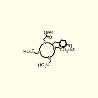 CCOc1ccc(CC2CN(CC(=O)OC)CCN(CC(=O)O)CCN(CC(=O)O)CCN2CC(=O)O)cc1